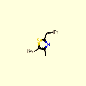 Cc1nc(CC(C)C)sc1C(C)C